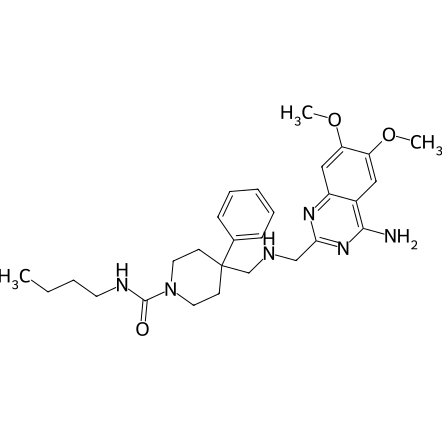 CCCCNC(=O)N1CCC(CNCc2nc(N)c3cc(OC)c(OC)cc3n2)(c2ccccc2)CC1